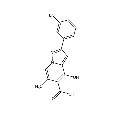 Cc1cn2nc(-c3cccc(Br)c3)cc2c(O)c1C(=O)O